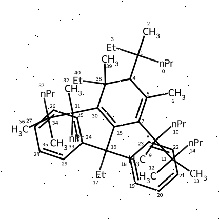 CCCC(C)(CC)C1C(C)=C(C(C)(CCC)C(C)(C)CCC)C(C(CC)(c2ccccc2)c2ccccc2)=C(C(C)(CCC)C(C)(C)CCC)C1(C)CC